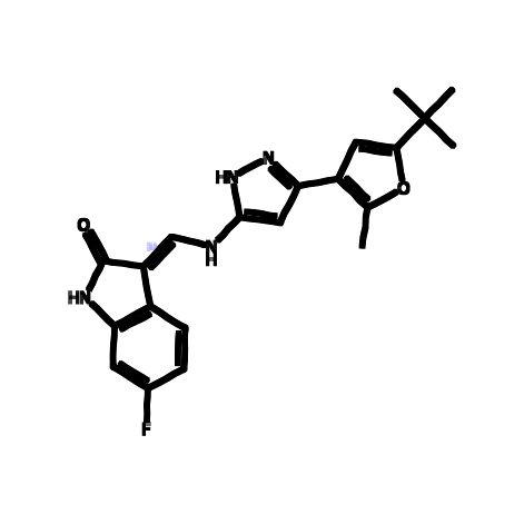 Cc1oc(C(C)(C)C)cc1-c1cc(N/C=C2/C(=O)Nc3cc(F)ccc32)[nH]n1